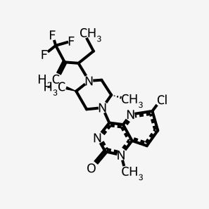 C=C(C(CC)N1C[C@H](C)N(c2nc(=O)n(C)c3ccc(Cl)nc23)C[C@H]1C)C(F)(F)F